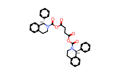 O=C(CCC(=O)OC(=O)N1CCc2ccccc2[C@@H]1c1ccccc1)OC(=O)N1CCc2ccccc2[C@@H]1c1ccccc1